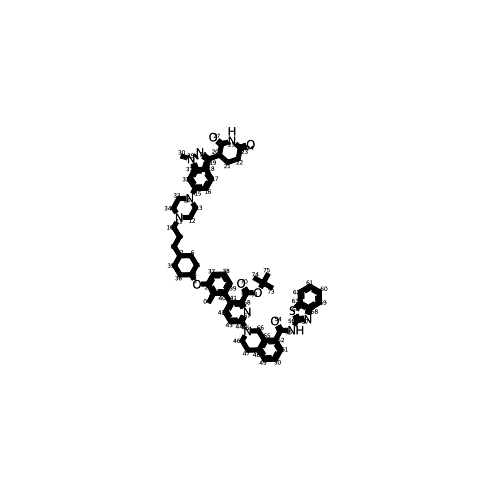 Cc1c(OC2CCC(CCCN3CCN(c4ccc5c(C6CCC(=O)NC6=O)nn(C)c5c4)CC3)CC2)cccc1-c1ccc(N2CCc3cccc(C(=O)Nc4nc5ccccc5s4)c3C2)nc1C(=O)OC(C)(C)C